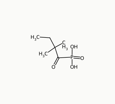 CCC(C)(C)C(=O)P(=O)(O)O